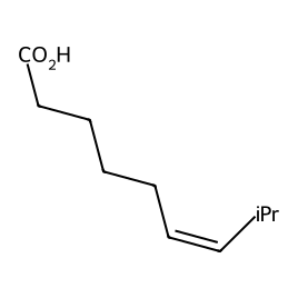 CC(C)/C=C\CCCCC(=O)O